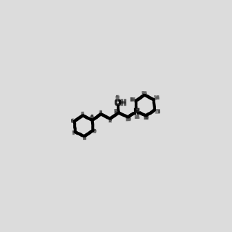 OC(CCC1CCCCC1)CN1CCCCC1